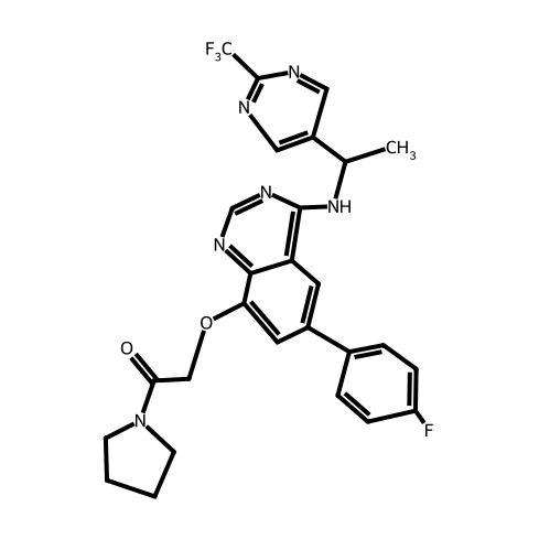 CC(Nc1ncnc2c(OCC(=O)N3CCCC3)cc(-c3ccc(F)cc3)cc12)c1cnc(C(F)(F)F)nc1